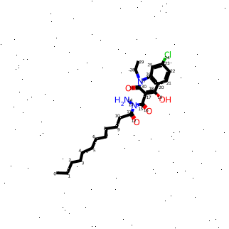 CCCCCCCCCCCC(=O)N(N)C(=O)c1c(O)c2ccc(Cl)cc2n(CC)c1=O